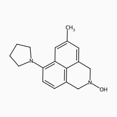 Cc1cc2c3c(ccc(N4CCCC4)c3c1)CN(O)C2